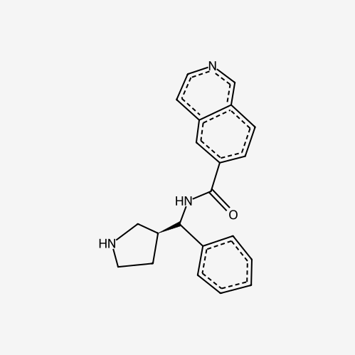 O=C(NC(c1ccccc1)[C@H]1CCNC1)c1ccc2cnccc2c1